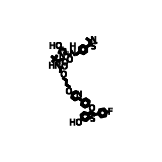 Cc1ncsc1-c1ccc(CNC(=O)[C@@H]2C[C@@H](O)CN2C(=O)[C@@H](NC(=O)COCCCCOc2ccc(-c3ccc(Oc4c(-c5ccc(F)cc5)sc5cc(O)ccc45)cc3)nc2)C(C)(C)C)cc1